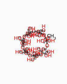 COC1C2OC(CO)C(OC3OC(CO)C(OC4OC(CO)C(OC5OC(CO)C(OC6OC(CO)C(OC7OC(CO)C(OC8OC(CO)C(O2)C(O)C8O)C(O)C7O)C(O)C6O)C(O)C5O)C(O)C4O)C(O)C3O)C1O